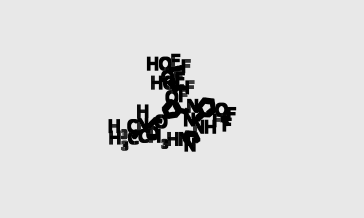 CC(C)(C)NC(=O)COc1cccc(-c2nc(Nc3cn[nH]c3)c3cc(OC(F)(F)F)ccc3n2)c1.O=C(O)C(F)(F)F.O=C(O)C(F)(F)F